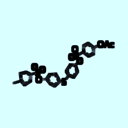 CC(=O)Oc1ccc(S(=O)(=O)Oc2ccc(Sc3ccc(OS(=O)(=O)c4ccc(C)cc4)cc3)cc2)cc1